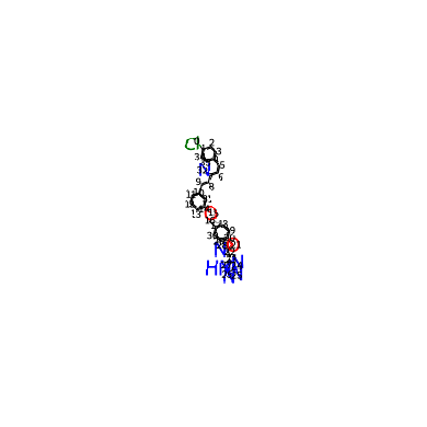 Clc1ccc2ccc(C=Cc3cccc(OCc4ccc5oc(-c6nnn[nH]6)nc5c4)c3)nc2c1